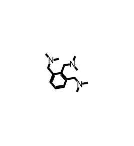 CN(C)Cc1cccc(CN(C)C)c1CN(C)C